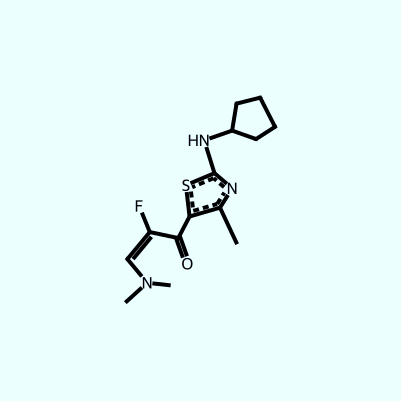 Cc1nc(NC2CCCC2)sc1C(=O)/C(F)=C\N(C)C